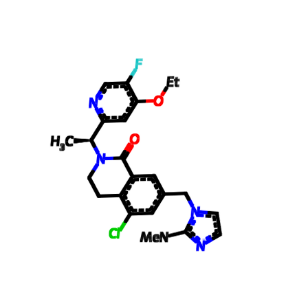 CCOc1cc([C@H](C)N2CCc3c(Cl)cc(Cn4ccnc4NC)cc3C2=O)ncc1F